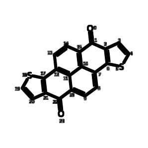 O=C1c2ccsc2-c2ccc3c4c(ccc1c24)-c1sccc1C3=O